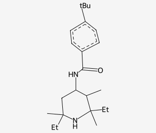 CCC1(C)CC(NC(=O)c2ccc(C(C)(C)C)cc2)C(C)C(C)(CC)N1